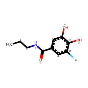 CCCNC(=O)c1cc(O)c(O)c(F)c1